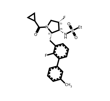 CCS(=O)(=O)N[C@H]1[C@@H](F)CN(C(=O)C2CC2)[C@H]1Cc1cccc(-c2cccc(C)c2)c1F